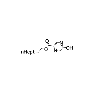 CCCCCCCCCOC(=O)c1cnc(O)cn1